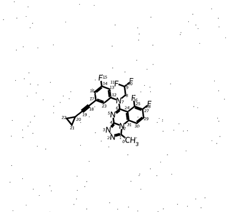 Cc1nnc2nc(N(CC(F)F)c3cc(F)cc(C#CC4CC4)c3)c3c(F)c(F)ccc3n12